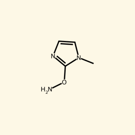 Cn1ccnc1ON